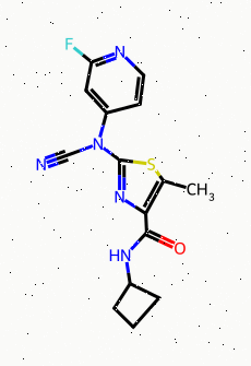 Cc1sc(N(C#N)c2ccnc(F)c2)nc1C(=O)NC1CCC1